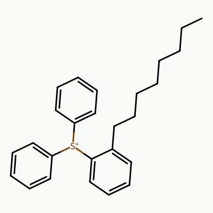 CCCCCCCCc1ccccc1[S+](c1ccccc1)c1ccccc1